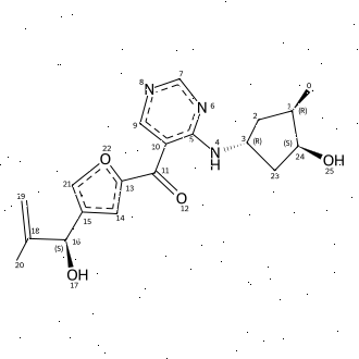 [CH2][C@@H]1C[C@@H](Nc2ncncc2C(=O)c2cc([C@@H](O)C(=C)C)co2)C[C@@H]1O